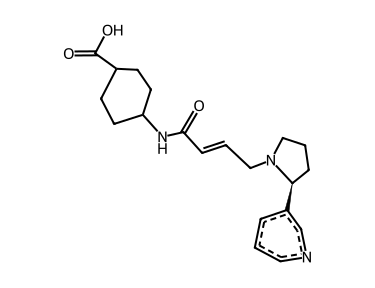 O=C(C=CCN1CCC[C@H]1c1cccnc1)NC1CCC(C(=O)O)CC1